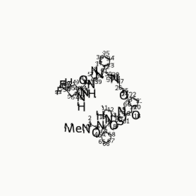 CNC(C)C(=O)NC(C(=O)N1CCCC1c1nc(C(=O)c2cccc(OCCCN3CC([C@@H](c4ccccc4)n4cc(NC(=O)c5n[nH]c6c5C[C@@H]5C(F)(F)[C@]5(C)C6)cn4)C3)c2)cs1)C1CCCCC1